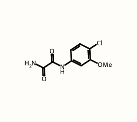 COc1cc(NC(=O)C(N)=O)ccc1Cl